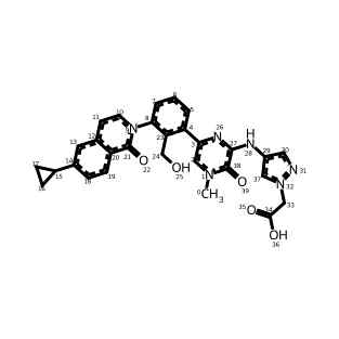 Cn1cc(-c2cccc(-n3ccc4cc(C5CC5)ccc4c3=O)c2CO)nc(Nc2cnn(CC(=O)O)c2)c1=O